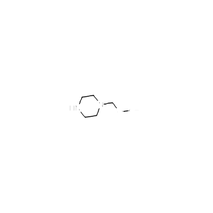 COCN1CCNCC1